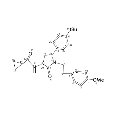 COc1ccc(CCN2C(=O)N(NC(=O)C3CC3)CC2c2ccc(C(C)(C)C)cc2)cc1